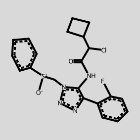 O=C(Nc1c(-c2ccccc2F)nnn1C[S+]([O-])c1ccccc1)C(Cl)C1CCC1